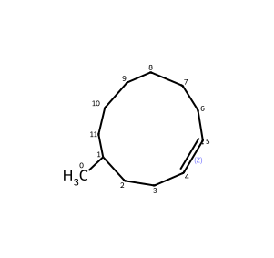 CC1CC/C=[C]\CCCCCC1